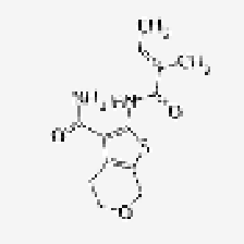 CC=C(C)C(=O)Nc1sc2c(c1C(N)=O)CCOC2